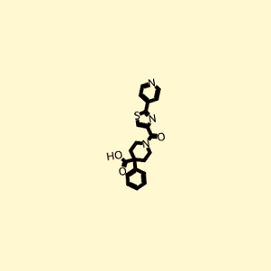 O=C(c1csc(-c2ccncc2)n1)N1CCC(C(=O)O)(c2ccccc2)CC1